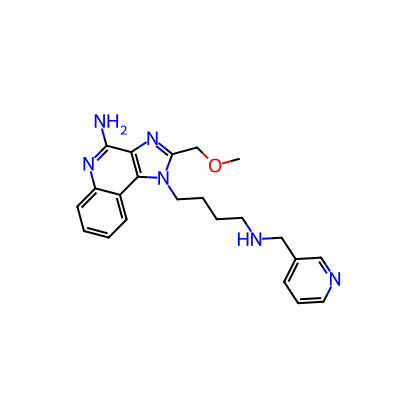 COCc1nc2c(N)nc3ccccc3c2n1CCCCNCc1cccnc1